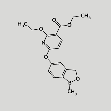 CCOC(=O)c1ccc(Oc2ccc3c(c2)COB3C)nc1OCC